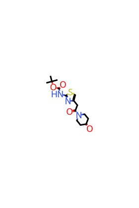 CC(C)(C)OC(=O)Nc1nc(CC(=O)N2CCC(=O)CC2)cs1